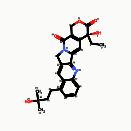 CC[C@@]1(O)C(=O)OCc2c1cc1n(c2=O)Cc2cc3c(CC[Si](C)(C)O)cccc3nc2-1